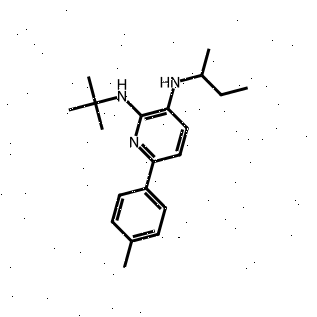 CCC(C)Nc1ccc(-c2ccc(C)cc2)nc1NC(C)(C)C